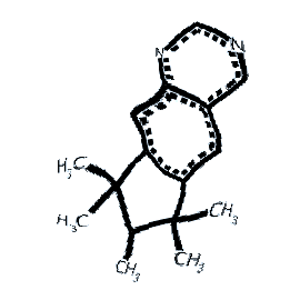 CC1C(C)(C)c2cc3cncnc3cc2C1(C)C